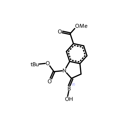 COC(=O)c1ccc2c(c1)N(C(=O)OC(C)(C)C)/C(=B\O)C2